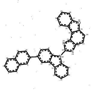 c1ccc2cc(-c3ccc4c(c3)c3ccccc3n4-c3nc4c(ccc5oc6ccccc6c54)s3)ccc2c1